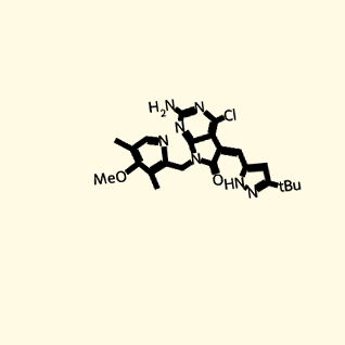 COc1c(C)cnc(CN2C(=O)C(=Cc3cc(C(C)(C)C)n[nH]3)c3c(Cl)nc(N)nc32)c1C